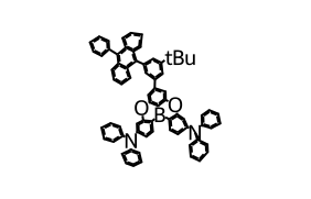 CC(C)(C)c1cc(-c2cc3c4c(c2)Oc2cc(N(c5ccccc5)c5ccccc5)ccc2B4c2ccc(N(c4ccccc4)c4ccccc4)cc2O3)cc(-c2c3ccccc3c(-c3ccccc3)c3ccccc23)c1